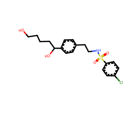 O=S(=O)(NCCc1ccc(C(O)CCCCO)cc1)c1ccc(Cl)cc1